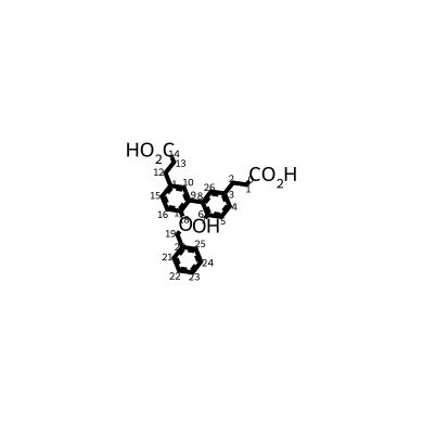 O=C(O)CCc1ccc(O)c(-c2cc(CCC(=O)O)ccc2OCc2ccccc2)c1